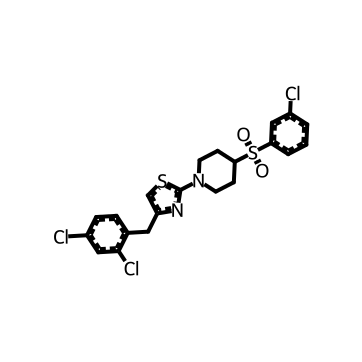 O=S(=O)(c1cccc(Cl)c1)C1CCN(c2nc(Cc3ccc(Cl)cc3Cl)cs2)CC1